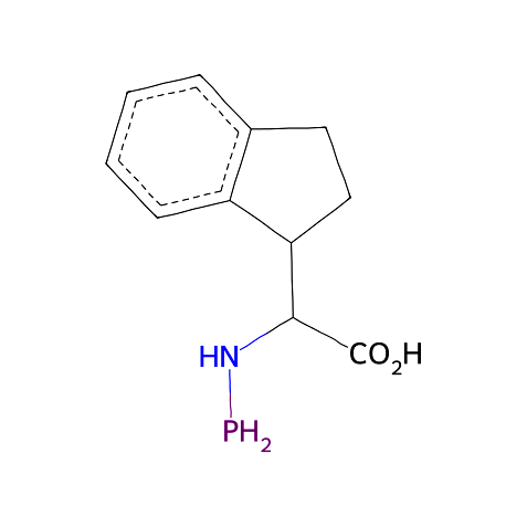 O=C(O)C(NP)C1CCc2ccccc21